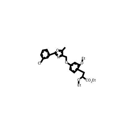 CCOC(=O)C(Cc1ccc(OCc2nc(-c3cccc(Cl)c3)oc2C)cc1OCC)OCC